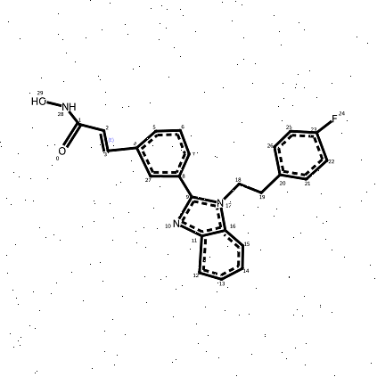 O=C(/C=C/c1cccc(-c2nc3ccccc3n2CCc2ccc(F)cc2)c1)NO